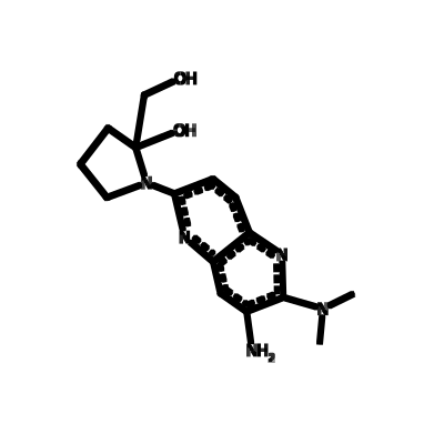 CN(C)c1nc2ccc(N3CCCC3(O)CO)nc2cc1N